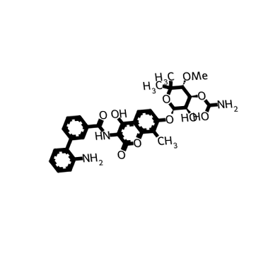 CO[C@@H]1[C@@H](OC(N)O)[C@@H](O)[C@H](Oc2ccc3c(O)c(NC(=O)c4cccc(-c5ccccc5N)c4)c(=O)oc3c2C)OC1(C)C